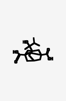 CC(C)C(C)(O)C12CC3CC(C(=O)O)(CC(C(=O)O)(C3)C1)C2